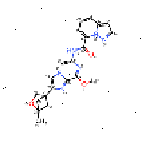 CC(C)Oc1nc(NC(=O)c2cccc3ccnn23)cn2cc(C34COC(C)(C3)C4)nc12